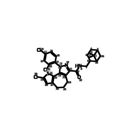 CC1(C)C2CCC(CNC(=O)c3nn(-c4ccc(Cl)cc4Cl)c4c3CCCc3cc(Cl)sc3-4)C1C2